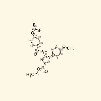 CCOC(=O)c1cn(-c2ccc(OC)cc2)c(NC(=O)c2ccc(OC(F)F)cc2)n1